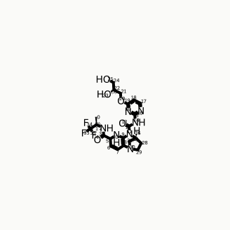 C[C@@H](NC(=O)C1C=CC2=C(N1)N(C(=O)Nc1nccc(OC[C@@H](O)CO)n1)[C@H]1CCN2C1)C(F)(F)F